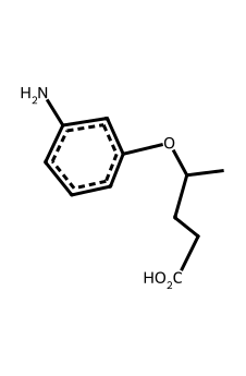 CC(CCC(=O)O)Oc1cccc(N)c1